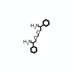 NC(COCOCC(N)c1ccccc1)c1ccccc1